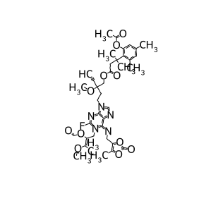 C#CC(CCn1cnc2/c(=N/Cc3oc(=O)oc3C)n(C/C(OC=O)=C(\C)OC)c(F)nc21)(COC(=O)CC(C)(C)c1c(C)cc(C)cc1OC(C)=O)OC